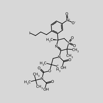 CC(C)(CN(C(=O)O)C1=N[C@](C)(c2cc([N+](=O)[O-])ccc2CCCI)CS(=O)(=O)C1(C)C)OC(=O)N(C(=O)O)C(C)(C)C